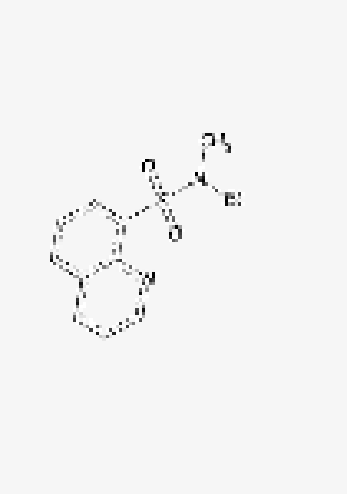 CCN(C)S(=O)(=O)c1cccc2cccnc12